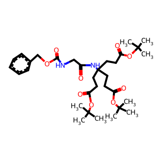 CC(C)(C)OC(=O)CCC(CCC(=O)OC(C)(C)C)(CCC(=O)OC(C)(C)C)NC(=O)CNC(=O)OCc1ccccc1